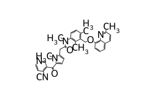 Cc1ccc2cccc(OCc3c(C)ccc(N(C)C(=O)Cc4ccc(C(=O)c5cnccc5C#N)n4C)c3C)c2n1